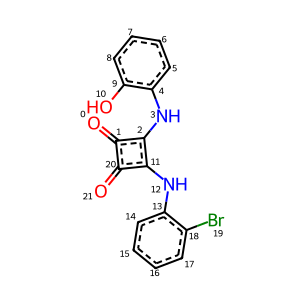 O=c1c(Nc2ccccc2O)c(Nc2ccccc2Br)c1=O